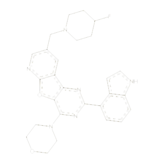 FC1CCN(Cc2cnc3oc4c(N5CCOCC5)nc(-c5cccc6[nH]ccc56)nc4c3c2)CC1